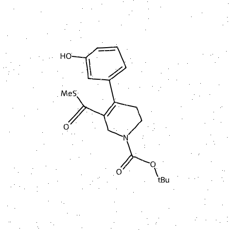 CSC(=O)C1=C(c2cccc(O)c2)CCN(C(=O)OC(C)(C)C)C1